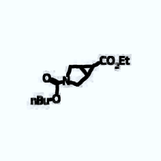 CCCCOC(=O)N1CC2C(C1)C2C(=O)OCC